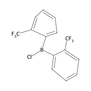 FC(F)(F)c1ccccc1B(Cl)c1ccccc1C(F)(F)F